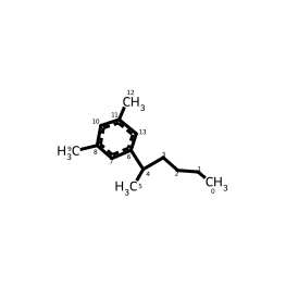 CCCCC(C)c1cc(C)cc(C)c1